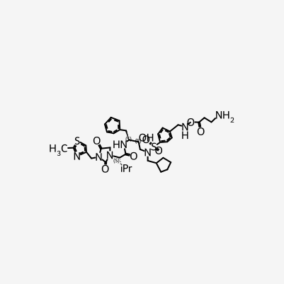 Cc1nc(CN2C(=O)CN([C@H](C(=O)N[C@@H](Cc3ccccc3)[C@H](O)CN(CC3CCCC3)S(=O)(=O)c3ccc(CNOC(=O)CCN)cc3)C(C)C)C2=O)cs1